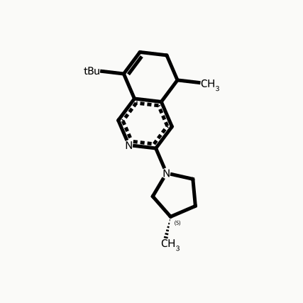 CC1CC=C(C(C)(C)C)c2cnc(N3CC[C@H](C)C3)cc21